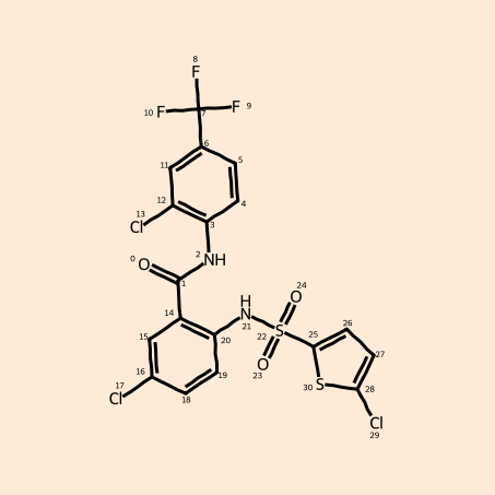 O=C(Nc1ccc(C(F)(F)F)cc1Cl)c1cc(Cl)ccc1NS(=O)(=O)c1ccc(Cl)s1